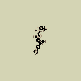 CN1CCN(c2ccc(-c3n[nH]c4cc(NC(=O)CC(=O)Nc5cc(C(F)(F)F)ccc5F)ccc34)cc2)CC1